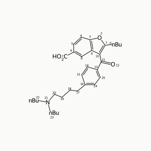 CCCCc1oc2ccc(C(=O)O)cc2c1C(=O)c1ccc(CCCCN(CCCC)CCCC)cc1